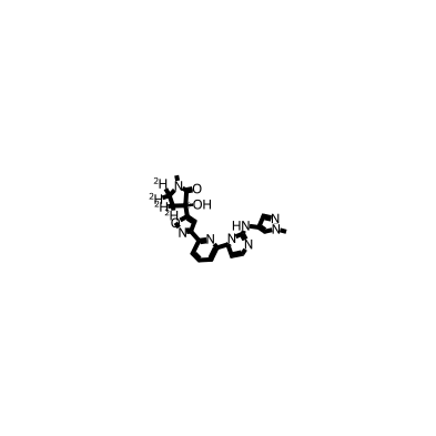 [2H]C1([2H])N(C)C(=O)[C@](O)(c2cc(-c3cccc(-c4ccnc(Nc5cnn(C)c5)n4)n3)no2)C1([2H])[2H]